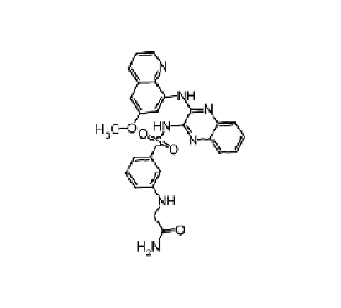 COc1cc(Nc2nc3ccccc3nc2NS(=O)(=O)c2cccc(NCC(N)=O)c2)c2ncccc2c1